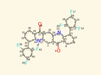 Cn1c2cc3c(=O)c4cccc(-c5c(F)cc(F)cc5F)c4n(C)c3cc2c(=O)c2cccc(-c3c(F)cc(F)cc3F)c21